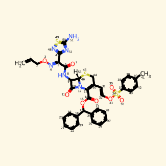 C=CCON=C(C(=O)NC1C(=O)N2C(C(=O)OC(c3ccccc3)c3ccccc3)=C(C=COS(=O)(=O)c3ccc(C)cc3)CS[C@@H]12)c1nsc(N)n1